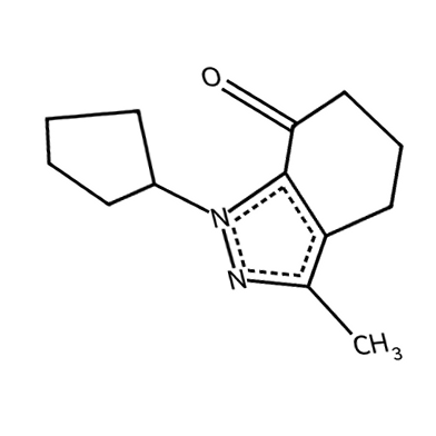 Cc1nn(C2CCCC2)c2c1CCCC2=O